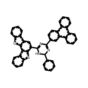 c1ccc(C2N=C(c3ccc4c5ccccc5c5ccccc5c4c3)N=C(c3cc4c5ccccc5oc4c4c3sc3ccccc34)N2)cc1